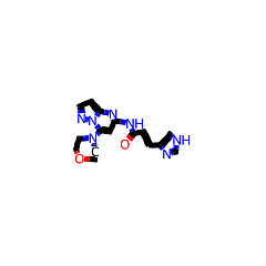 O=C(/C=C/c1c[nH]cn1)Nc1cc(N2CCOCC2)n2nccc2n1